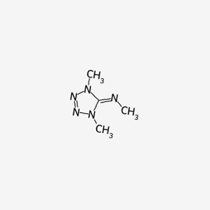 CN=c1n(C)nnn1C